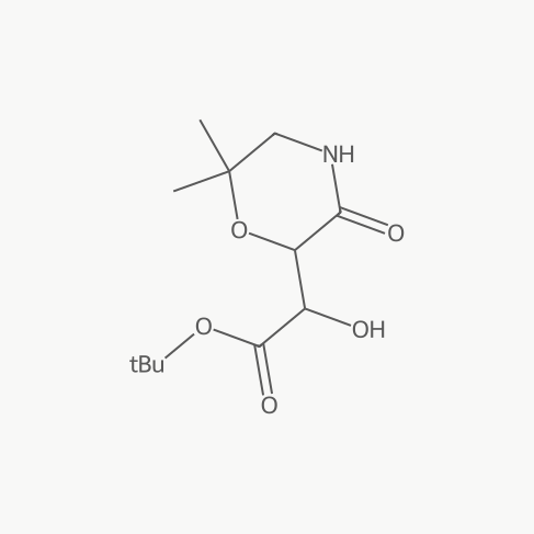 CC(C)(C)OC(=O)C(O)C1OC(C)(C)CNC1=O